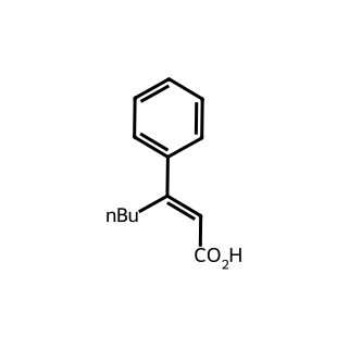 CCCCC(=CC(=O)O)c1ccccc1